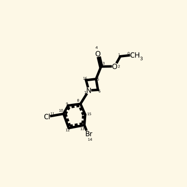 CCOC(=O)C1CN(c2cc(Cl)cc(Br)c2)C1